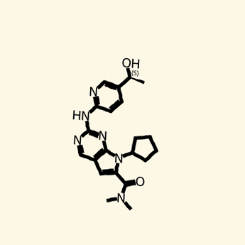 C[C@H](O)c1ccc(Nc2ncc3cc(C(=O)N(C)C)n(C4CCCC4)c3n2)nc1